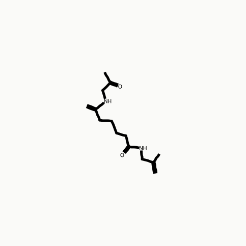 C=C(C)CNC(=O)CCCCC(=C)NCC(C)=O